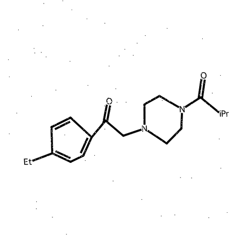 CCc1ccc(C(=O)CN2CCN(C(=O)C(C)C)CC2)cc1